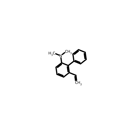 C=Cc1cccc(N(C)C)c1-c1ccccc1